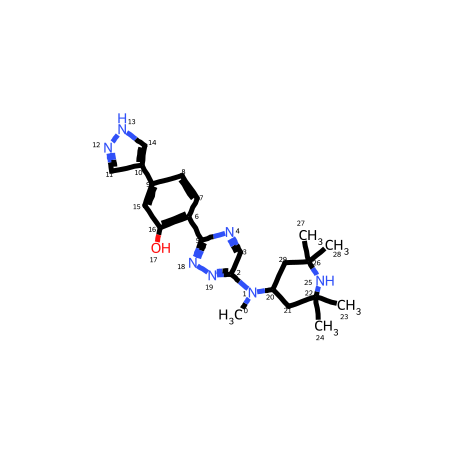 CN(c1cnc(-c2ccc(-c3cn[nH]c3)cc2O)nn1)C1CC(C)(C)NC(C)(C)C1